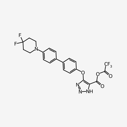 O=C(OC(=O)C(F)(F)F)c1[nH]nnc1Oc1ccc(-c2ccc(N3CCC(F)(F)CC3)cc2)cc1